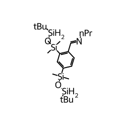 CCCN=Cc1ccc([Si](C)(C)O[SiH2]C(C)(C)C)cc1[Si](C)(C)O[SiH2]C(C)(C)C